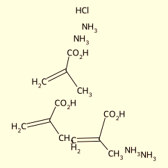 C=C(C)C(=O)O.C=C(C)C(=O)O.C=C(C)C(=O)O.Cl.N.N.N.N